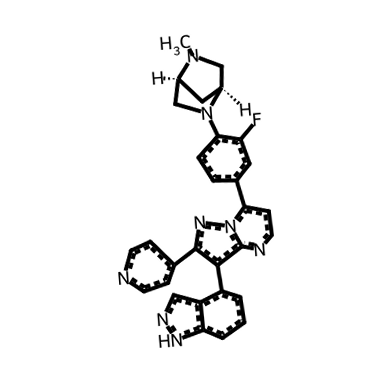 CN1C[C@@H]2C[C@H]1CN2c1ccc(-c2ccnc3c(-c4cccc5[nH]ncc45)c(-c4ccncc4)nn23)cc1F